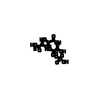 O=C(O)C(=O)O.O=C(O)C(=O)O.O=C(O)C(=O)O.O=P([O-])(O)O.[K+]